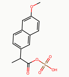 COc1ccc2cc(C(C)C(=O)OS(=O)(=O)O)ccc2c1